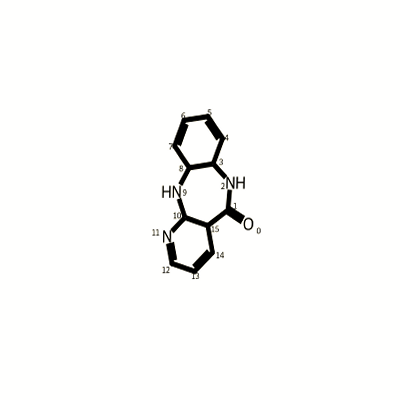 O=C1NC2C=CC=CC2NC2N=CC=CC12